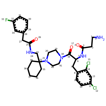 NCCC(=O)NC(Cc1ccc(Cl)cc1Cl)C(=O)N1CCN(C2(CNC(=O)Cc3cccc(F)c3)CCCCC2)CC1